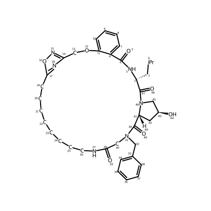 CC(C)C[C@H]1NC(=O)c2ccccc2OCc2noc(n2)CCCCCCCCNC(=O)CN(Cc2ccccc2)C(=O)[C@H]2C[C@H](O)CN2C1=O